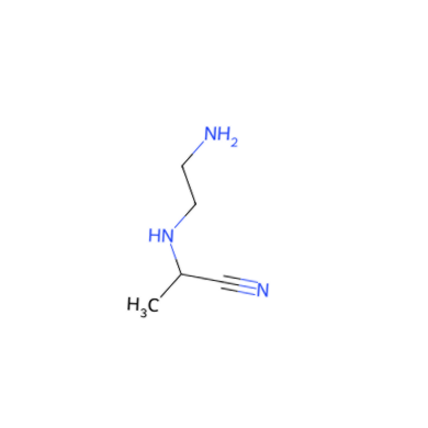 CC(C#N)NCCN